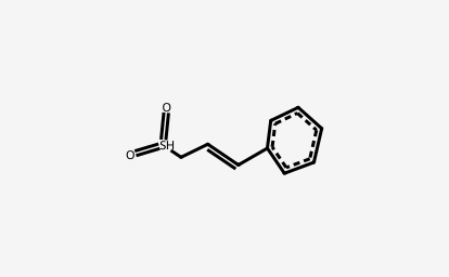 O=[SH](=O)CC=Cc1ccccc1